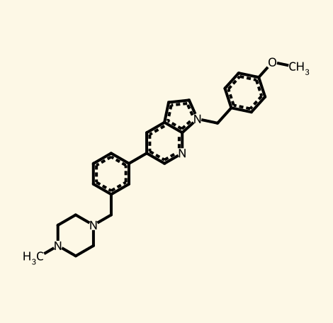 COc1ccc(Cn2ccc3cc(-c4cccc(CN5CCN(C)CC5)c4)cnc32)cc1